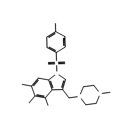 CC(C)c1ccc(S(=O)(=O)n2cc(CN3CCN(C)CC3)c3c(Cl)c(Cl)c(Cl)cc32)cc1